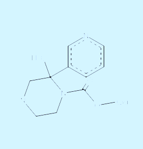 CC(C)(C)OC(=O)N1CCNCC1(C)c1cccnc1